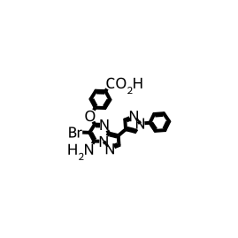 Nc1c(Br)c(Oc2ccc(C(=O)O)cc2)nc2c(-c3cnn(-c4ccccc4)c3)cnn12